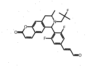 CC1Cc2cc3oc(=O)ccc3cc2C(c2c(F)cc(/C=C/C=O)cc2F)N1CC(C)(C)F